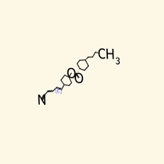 CCCC[C@H]1CC[C@H](C(=O)OC2CCC(/C=C/C=CC#N)CC2)CC1